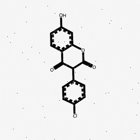 O=C1Oc2cc(O)ccc2C(=O)C1c1ccc(Cl)cc1